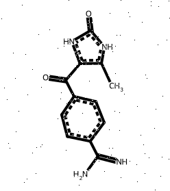 Cc1[nH]c(=O)[nH]c1C(=O)c1ccc(C(=N)N)cc1